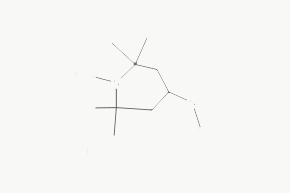 CCCCNC1CC(C)(C)N(OC(C)=O)C(C)(C)C1.Cl